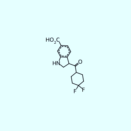 O=C(O)c1ccc2c(c1)NCC2C(=O)C1CCC(F)(F)CC1